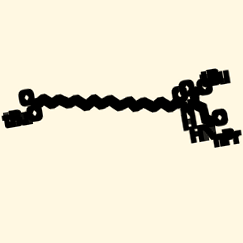 CCCNC(=O)CCC(NC(=O)CCCCCCCCCCCCCCCCC(=O)OC(C)(C)C)C(=O)OC(C)(C)C